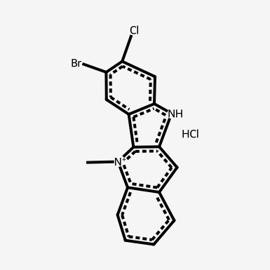 C[n+]1c2ccccc2cc2[nH]c3cc(Cl)c(Br)cc3c21.Cl